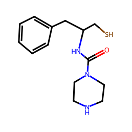 O=C(NC(CS)Cc1ccccc1)N1CCNCC1